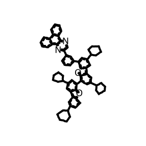 c1cc(-c2cnc3c4ccccc4c4ccccc4c3n2)cc(-c2cc(C3CCCCC3)cc3c2oc2c(-c4cc(C5CCCCC5)cc5c4oc4ccc(C6CCCCC6)cc45)cc(C4CCCCC4)cc23)c1